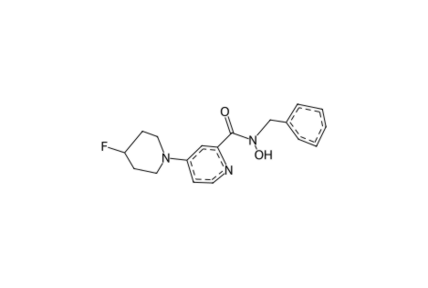 O=C(c1cc(N2CCC(F)CC2)ccn1)N(O)Cc1ccccc1